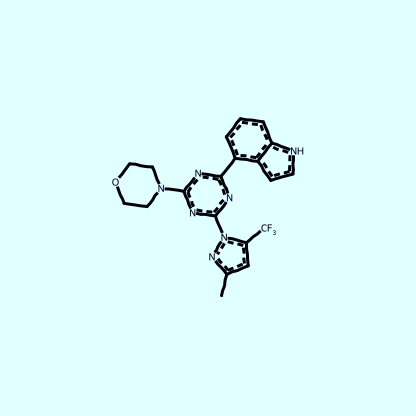 Cc1cc(C(F)(F)F)n(-c2nc(-c3cccc4[nH]ccc34)nc(N3CCOCC3)n2)n1